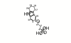 O=P(O)(O)CCCOc1ccc2[nH]c3c(c2c1)CCCC3